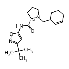 CC(C)(C)c1cc(NC(=O)[C@@H]2CCCN2CC2C=CCCC2)on1